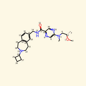 CO[C@@H](C)CN(C)c1cnc(C(=O)NCc2ccc3c(c2)CCN(C2CCC2)CC3)cn1